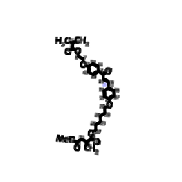 C=C(C)C(=O)OCCOc1ccc(C(=O)/C=C/c2ccc(OCCCCCCOC(=O)C(=C)CC(=O)OC)cc2)cc1